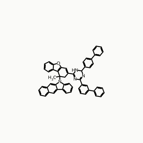 CC1(n2c3ccccc3c3cc4ccccc4cc32)CC(C2=NC(c3cccc(-c4ccccc4)c3)=NC(c3ccc(-c4ccccc4)cc3)N2)=Cc2oc3ccccc3c21